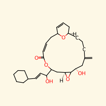 C=C1CCC[C@@H]2CC=CC(C/C=C\C(=O)OC(C(O)/C=C/C3CCCCC3)C[C@@H]3OC3[C@@H](O)C1)O2